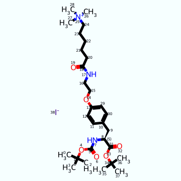 CC(C)(C)OC(=O)N[C@@H](Cc1ccc(OCCNC(=O)CCCCC[N+](C)(C)C)cc1)C(=O)OC(C)(C)C.[I-]